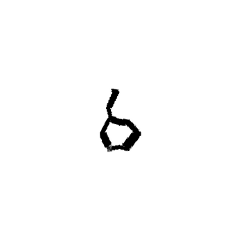 C=Cc1cc[c]nc1